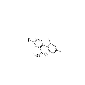 Cc1ccc(-c2ccc(F)cc2C(=O)O)c(C)c1